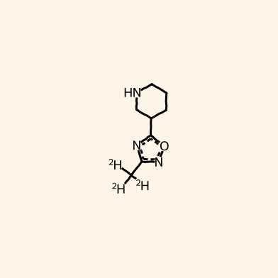 [2H]C([2H])([2H])c1noc(C2CCCNC2)n1